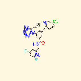 CC(C)c1nnnn1-c1cc(C(=O)NCc2cc(F)cc(F)n2)cc(-c2ccc(Cl)cn2)c1